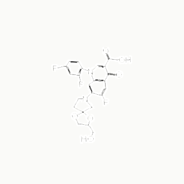 O=C(O)c1cn(-c2ccc(F)cc2F)c2cc(N3CCC4(C3)OCC(CO)O4)c(F)cc2c1=O